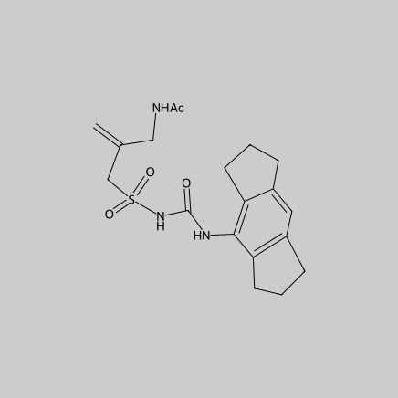 C=C(CNC(C)=O)CS(=O)(=O)NC(=O)Nc1c2c(cc3c1CCC3)CCC2